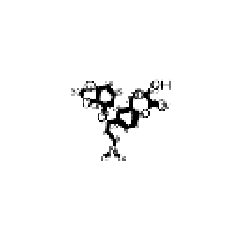 Cc1cccc(C(CCN(C)C)Oc2cccc3c2OCO3)c1.O=C(O)C(=O)O